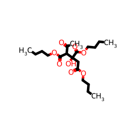 CCCCOC(=O)CC(O)(C(=O)OCCCC)C(C(C)=O)C(=O)OCCCC